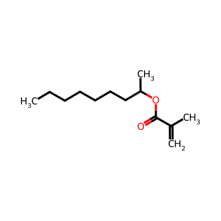 C=C(C)C(=O)OC(C)CCCCCCC